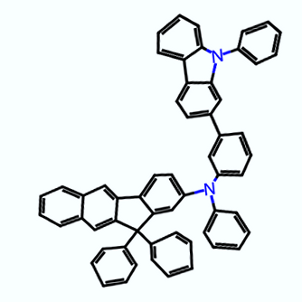 c1ccc(N(c2cccc(-c3ccc4c5ccccc5n(-c5ccccc5)c4c3)c2)c2ccc3c(c2)C(c2ccccc2)(c2ccccc2)c2cc4ccccc4cc2-3)cc1